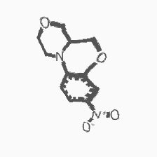 O=[N+]([O-])c1ccc2c(c1)OCC1COCCN21